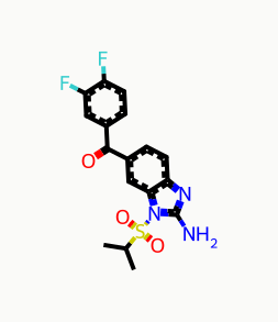 CC(C)S(=O)(=O)n1c(N)nc2ccc(C(=O)c3ccc(F)c(F)c3)cc21